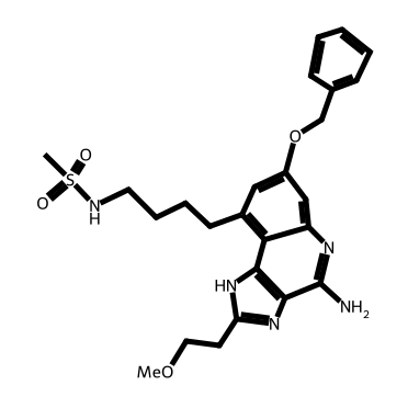 COCCc1nc2c(N)nc3cc(OCc4ccccc4)cc(CCCCNS(C)(=O)=O)c3c2[nH]1